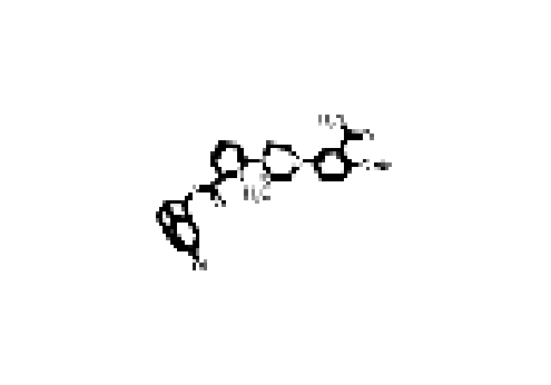 COc1ccc(N2CCN(c3cccc(C(=O)NC4C5CC6CC4CC(O)(C6)C5)n3)[C@H](C)C2)cc1C(N)=O